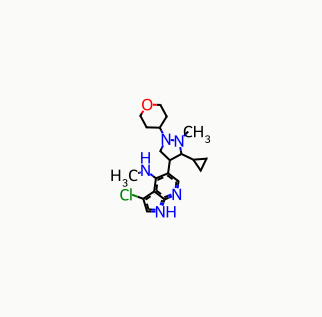 CNc1c(C2CN(C3CCOCC3)N(C)C2C2CC2)cnc2[nH]cc(Cl)c12